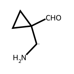 N[CH]C1(C=O)CC1